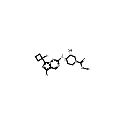 CCC1(c2nc(Cl)c3cnc(N[C@H]4CCN(C(=O)OC(C)(C)C)C[C@H]4O)nn23)CCC1